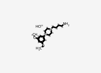 COc1cc(OC)cc(N2CCN(CCCCN)CC2)c1.Cl